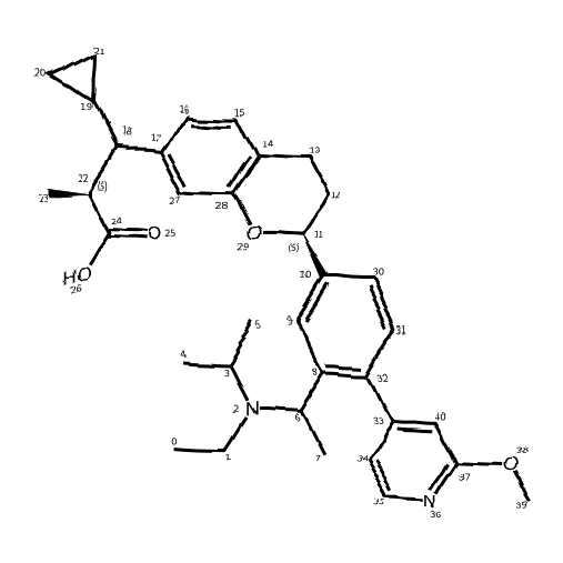 CCN(C(C)C)C(C)c1cc([C@@H]2CCc3ccc(C(C4CC4)[C@H](C)C(=O)O)cc3O2)ccc1-c1ccnc(OC)c1